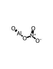 [O]=[Al][O][N+](=O)[O-]